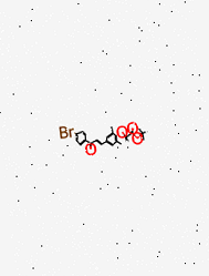 C=C(Oc1c(C)cc(/C=C/C(=O)c2ccc(Br)cc2)cc1C)C(=O)OC(C)(C)C